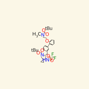 CN(CCOc1ccccc1-c1cccc(C[C@H]2[C@@H](NS(=O)(=O)C(F)F)C3(CC3)CN2C(=O)OC(C)(C)C)c1)C(=O)OC(C)(C)C